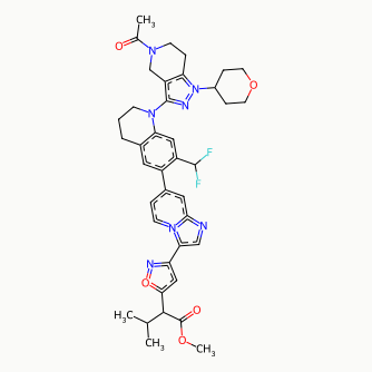 COC(=O)C(c1cc(-c2cnc3cc(-c4cc5c(cc4C(F)F)N(c4nn(C6CCOCC6)c6c4CN(C(C)=O)CC6)CCC5)ccn23)no1)C(C)C